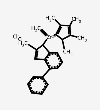 [CH2]=[Zr+2]([C]1=C(C)C(C)=C(C)C1C)[CH]1C(C)=Cc2c(-c3ccccc3)cccc21.[Cl-].[Cl-]